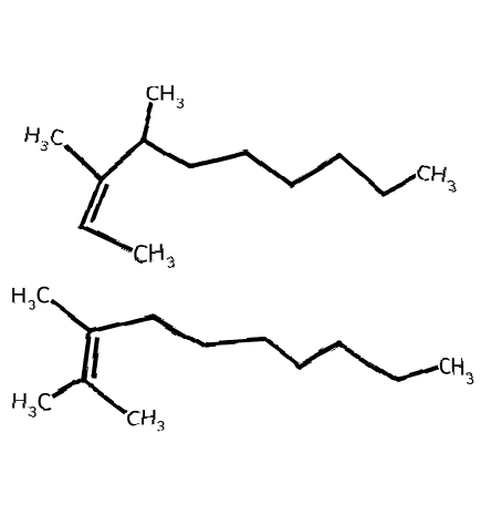 CC=C(C)C(C)CCCCCC.CCCCCCCC(C)=C(C)C